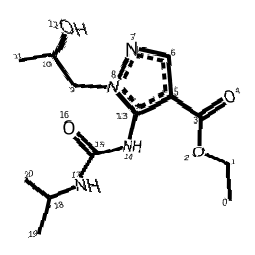 CCOC(=O)c1cnn(CC(C)O)c1NC(=O)NC(C)C